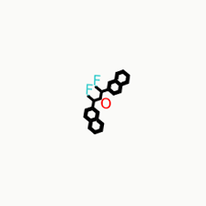 O=C(C(CF)c1ccc2ccccc2c1)C(CF)c1ccc2ccccc2c1